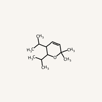 CC(C)C1C=CC(C)(C)OC1C(C)C